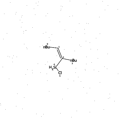 CCCCC=C(CCCC)[SiH2]Cl